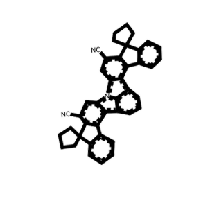 N#Cc1cc2c(c3c1C1(CCCC1)c1ccccc1-3)c1cccc3c4c5c(c(C#N)cc4n2c13)C1(CCCC1)c1ccccc1-5